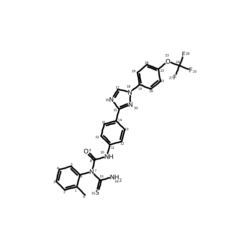 Cc1ccccc1N(C(=O)Nc1ccc(-c2ncn(-c3ccc(OC(F)(F)F)cc3)n2)cc1)C(N)=S